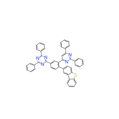 c1ccc(-c2cc(-c3cc(-c4nc(-c5ccccc5)nc(-c5ccccc5)n4)ccc3-c3ccc4sc5ccccc5c4c3)nc(-c3ccccc3)n2)cc1